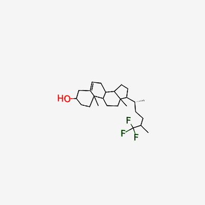 CC(CC[C@@H](C)C1CCC2C3CC=C4CC(O)CCC4(C)C3CCC21C)C(F)(F)F